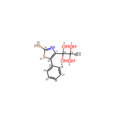 CCC(O)(O)C(O)(O)c1nc(S)sc1-c1ccccc1